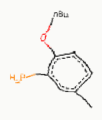 CCCCOc1ccc(C)cc1P